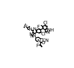 C=C(F)C(=O)N1CC[C@H](n2nnc3c(N4CC(N(C)C)C4)nc4c(F)c(-c5c(C)c(Cl)cc6[nH]ncc56)c(Cl)cc4c32)C[C@H]1CC#N